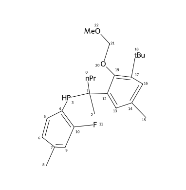 CCCC(C)(Pc1ccc(C)cc1F)c1cc(C)cc(C(C)(C)C)c1OCOC